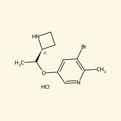 Cc1ncc(OC(C)[C@@H]2CCN2)cc1Br.Cl